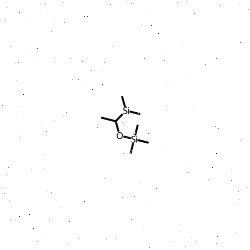 CC(O[Si](C)(C)C)[Si](C)C